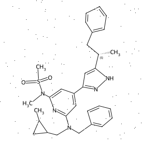 CC1CC1CN(Cc1ccccc1)c1cc(-c2cc([C@@H](C)Cc3ccccc3)[nH]n2)cc(N(C)S(C)(=O)=O)n1